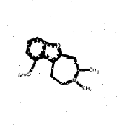 COc1cccc2oc3c(c12)CCN(C)C(C)C3